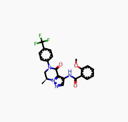 COc1ccccc1C(=O)Nc1cnn2c1C(=O)N(c1ccc(C(F)(F)F)cc1)C[C@@H]2C